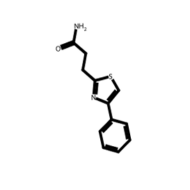 NC(=O)CCc1nc(-c2ccccc2)cs1